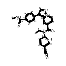 CCN(C(=O)c1ccn2ncc(-c3ccc(C(=O)NC)cc3)c2c1)C1C=CC(C#N)=CN1